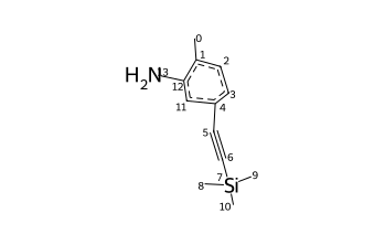 Cc1ccc(C#C[Si](C)(C)C)cc1N